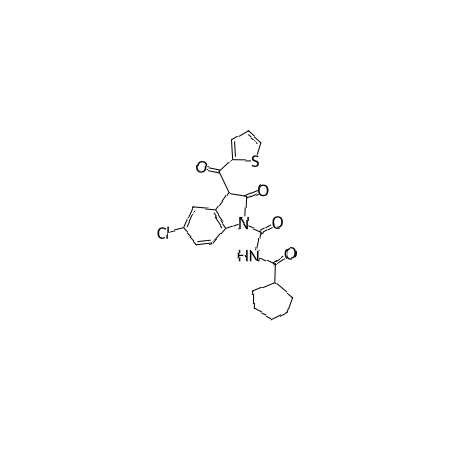 O=C(NC(=O)N1C(=O)C(C(=O)c2cccs2)c2cc(Cl)ccc21)C1CCCCC1